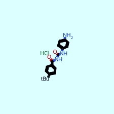 CC(C)(C)c1ccc(C(=O)NC(=O)Nc2ccc(N)cc2)cc1.Cl